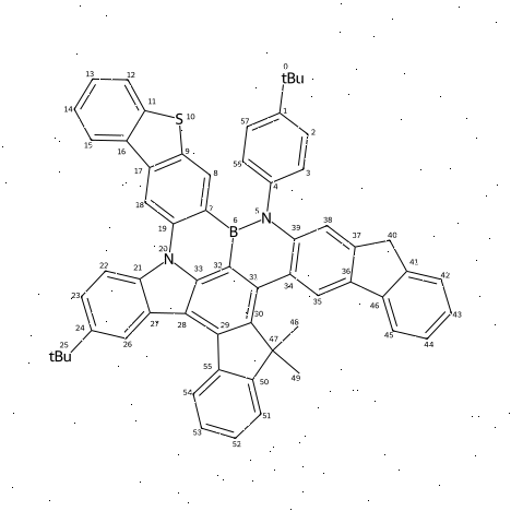 CC(C)(C)c1ccc(N2B3c4cc5sc6ccccc6c5cc4-n4c5ccc(C(C)(C)C)cc5c5c6c(c(c3c54)-c3cc4c(cc32)Cc2ccccc2-4)C(C)(C)c2ccccc2-6)cc1